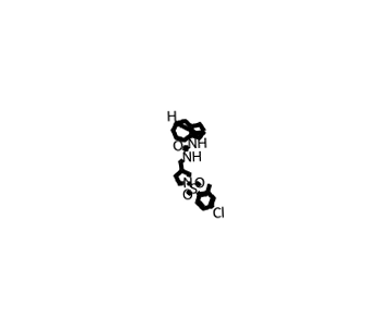 Cc1cc(Cl)ccc1S(=O)(=O)N1CCC(CNC(=O)NC23CCC[C@@H]4CC(CC2C4)C3)C1